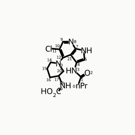 CCCC(=O)Nc1c[nH]c2ncc(Cl)c(N3CCCC(NC(=O)O)C3)c12